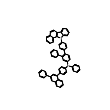 c1ccc(-c2cc(-c3ccc(N(c4ccccc4)c4ccc(-c5ccc(-n6c7ccccc7c7ccc8ccccc8c76)cc5)c(-c5ccccc5)c4)cc3)c3ccccc3c2)cc1